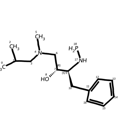 CC(C)CN(C)C[C@@H](O)[C@H](Cc1ccccc1)NP